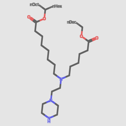 CCCCCCCCCCCOC(=O)CCCCCN(CCCCCCCC(=O)OC(CCCCCC)CCCCCCCC)CCN1CCNCC1